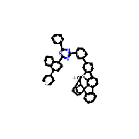 C[Si]12c3cc(-c4cccc(-c5nc(-c6ccccc6)nc(-c6ccc(-c7ccccc7)c7ccccc67)n5)c4)ccc3-c3ccc4c(c31)C1(c3ccccc3-4)C3CC4CC(C3)C2C1C4